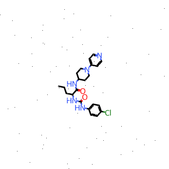 CCCC(NC(=O)Nc1ccc(Cl)cc1)C(=O)NC1CCN(c2ccncc2)CC1